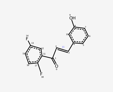 O=C(/C=C/c1cccc(O)c1)c1cc(F)ccc1F